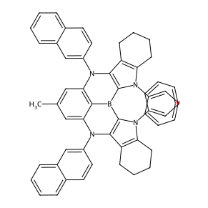 Cc1cc2c3c(c1)N(c1ccc4ccccc4c1)c1c4c(n(-c5ccccc5)c1B3c1c(c3c(n1-c1ccccc1)CCCC3)N2c1ccc2ccccc2c1)CCCC4